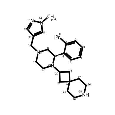 CC(C)c1ccccc1[C@@H]1CN(Cc2cnn(C)c2)CCN1C1CC2(CCNCC2)C1